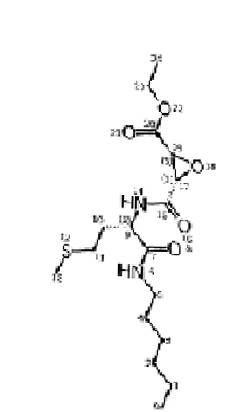 CCCCCCNC(=O)[C@H](CCSC)NC(=O)[C@H]1O[C@@H]1C(=O)OCC